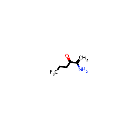 C=C(N)C(=O)CCC(F)(F)F